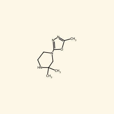 Cc1nnc(N2CCNC(C)(C)C2)o1